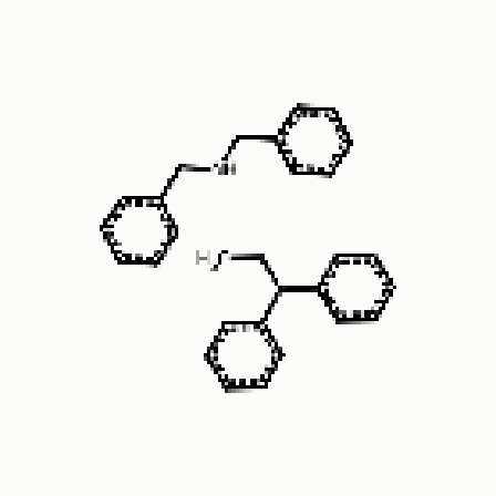 CCC(c1ccccc1)c1ccccc1.c1ccc(CNCc2ccccc2)cc1